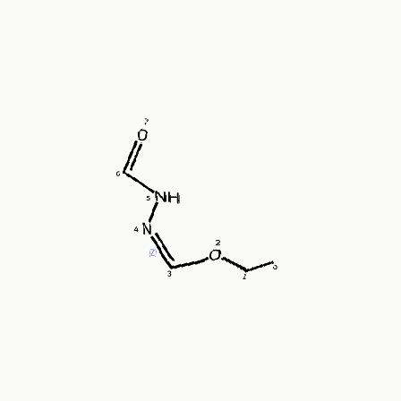 CCO/C=N\NC=O